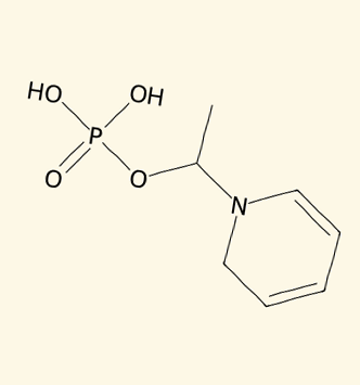 CC(OP(=O)(O)O)N1C=CC=CC1